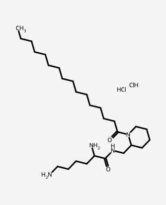 CCCCCCCCCCCCCCCC(=O)N1CCCCC1CNC(=O)C(N)CCCCN.Cl.Cl